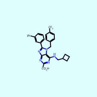 CC(C)c1cccc(-c2nc3nc(C(=O)O)nc(NCC4CCC4)c3n2Cc2ccc(C(F)(F)F)cc2)c1